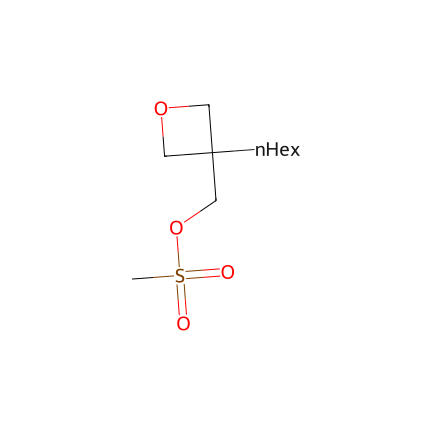 CCCCCCC1(COS(C)(=O)=O)COC1